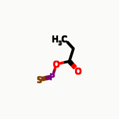 CCC(=O)OP=S